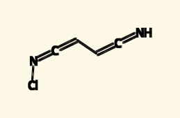 N=C=CC=C=NCl